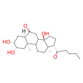 CCCCC(=O)[C@H]1CC[C@@]2(O)C3CC(=O)[C@@H]4C[C@@H](O)[C@@H](O)C[C@]4(C)C3CC[C@]12C